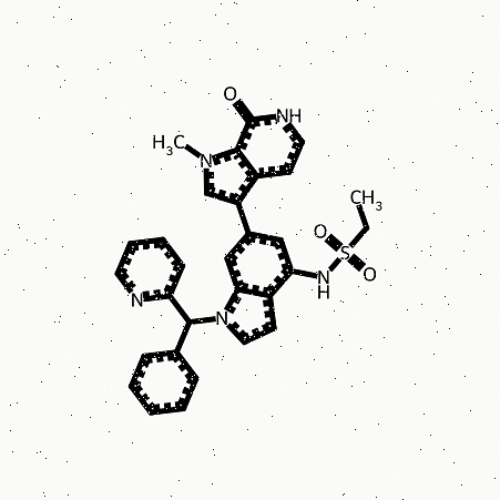 CCS(=O)(=O)Nc1cc(-c2cn(C)c3c(=O)[nH]ccc23)cc2c1ccn2C(c1ccccc1)c1ccccn1